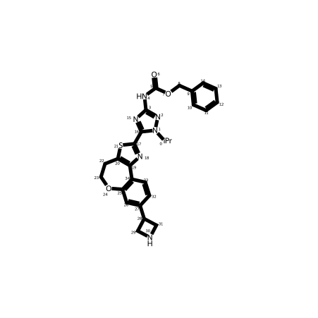 CC(C)n1nc(NC(=O)OCc2ccccc2)nc1-c1nc2c(s1)CCOc1cc(C3CNC3)ccc1-2